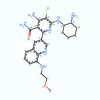 COCCNc1cccc2cc(-c3nc(N[C@@H]4CCCC[C@@H]4N)c(F)c(N)c3C(N)=O)cnc12